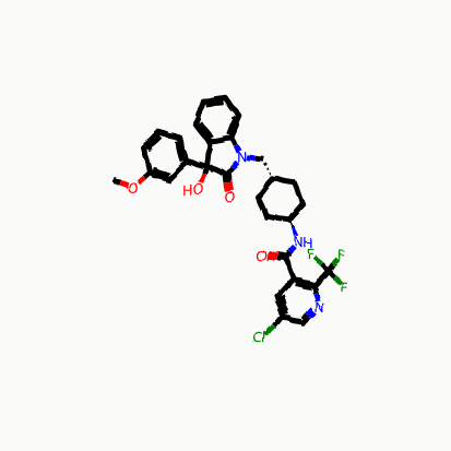 COc1cccc(C2(O)C(=O)N(C[C@H]3CC[C@H](NC(=O)c4cc(Cl)cnc4C(F)(F)F)CC3)c3ccccc32)c1